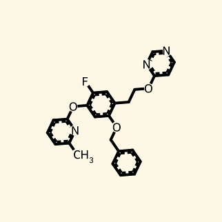 Cc1cccc(Oc2cc(OCc3ccccc3)c(CCOc3ccncn3)cc2F)n1